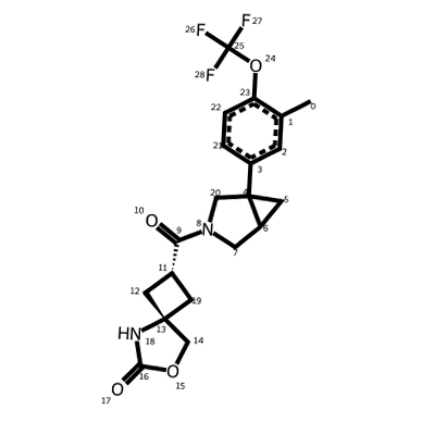 Cc1cc(C23CC2CN(C(=O)[C@H]2C[C@]4(COC(=O)N4)C2)C3)ccc1OC(F)(F)F